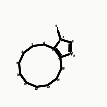 In1cnc2c1CCCCCCCCCC2